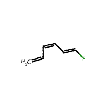 C=C/C=C\C=C\F